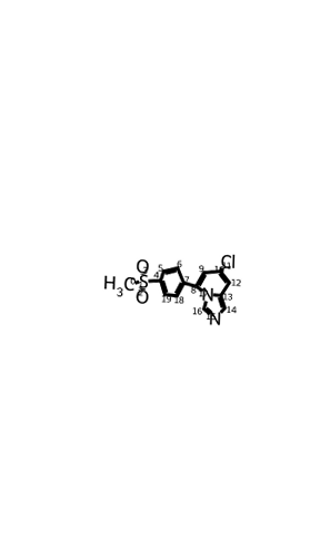 CS(=O)(=O)c1ccc(-c2cc(Cl)cc3cncn23)cc1